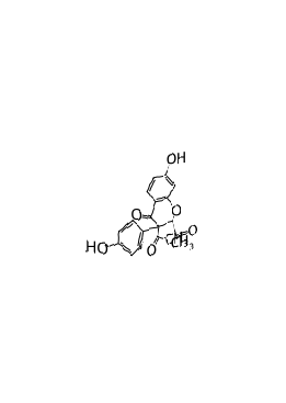 CC(=O)C1Oc2cc(O)ccc2C(=O)C1(C(C)=O)c1ccc(O)cc1